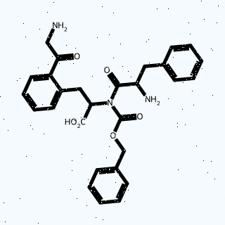 NCC(=O)c1ccccc1CC(C(=O)O)N(C(=O)OCc1ccccc1)C(=O)C(N)Cc1ccccc1